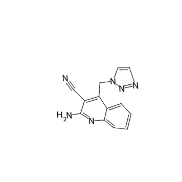 N#Cc1c(N)nc2ccccc2c1Cn1ccnn1